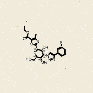 CCOC(=O)c1oc([C@@H]2O[C@H](CO)[C@H](O)[C@H](n3cc(-c4cccc(F)c4)nn3)[C@H]2O)nc1C